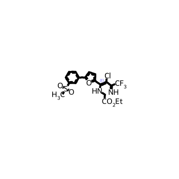 CCOC(=O)CN/C(=C(/Cl)C(=N)C(F)(F)F)c1ccc(-c2cccc(S(C)(=O)=O)c2)o1